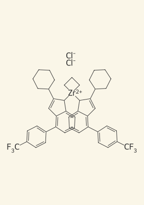 FC(F)(F)c1ccc(-c2cccc3c2C=C(C2CCCCC2)[CH]3[Zr+2]2([CH]3C(C4CCCCC4)=Cc4c(-c5ccc(C(F)(F)F)cc5)cccc43)[CH2]C[CH2]2)cc1.[Cl-].[Cl-]